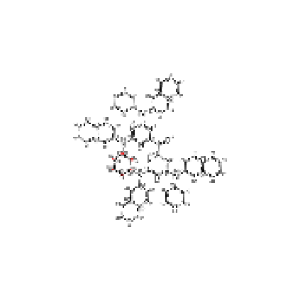 O=C(c1nc(N(c2ccccc2)c2ccc3ccccc3c2)nc(N(c2ccccc2)c2ccc3ccccc3c2)n1)c1nc(N(c2ccccc2)c2ccc3ccccc3c2)nc(N(c2ccccc2)c2ccc3ccccc3c2)n1